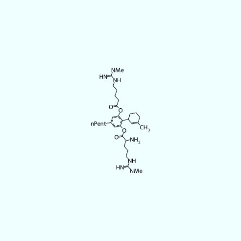 CCCCCc1cc(OC(=O)CCCCNC(=N)NC)c(C2C=C(C)CCC2)c(OC(=O)C(N)CCCNC(=N)NC)c1